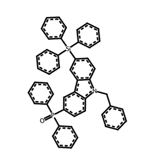 O=P(c1ccccc1)(c1ccccc1)c1ccc2c(c1)c1cc([Si](c3ccccc3)(c3ccccc3)c3ccccc3)ccc1n2Cc1ccccc1